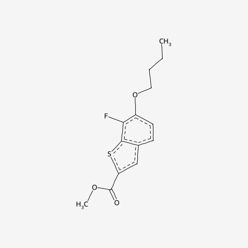 CCCCOc1ccc2cc(C(=O)OC)sc2c1F